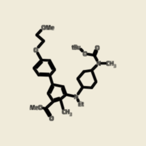 CCN(c1cc(-c2ccc(OCCOC)cc2)cc(C(=O)OC)c1C)C1CCC(N(C)C(=O)OC(C)(C)C)CC1